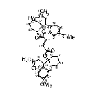 COc1ccc(C(CN(C)C)C2(OC(=O)/C=C/C(=O)OC3(C(CN(C)C)c4ccc(OC)cc4)CCCCC3)CCCCC2)cc1